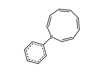 C1=CC=CB(c2ccccc2)C=CC=C1